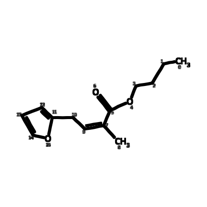 CCCCOC(=O)C(C)=CCc1ccco1